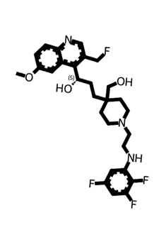 COc1ccc2ncc(CF)c([C@@H](O)CCC3(CO)CCN(CCNc4cc(F)cc(F)c4F)CC3)c2c1